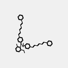 CCc1cccc(C)c1N(c1ccc(/C=C/C=C/C=C/c2ccccc2)cc1)c1ccc(/C=C/C=C/C=C/c2ccccc2)cc1